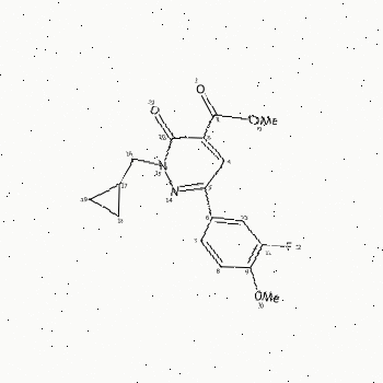 COC(=O)c1cc(-c2ccc(OC)c(F)c2)nn(CC2CC2)c1=O